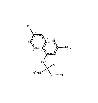 CCCCCC(C)(CO)Nc1nc(N)nc2cc(F)cnc12